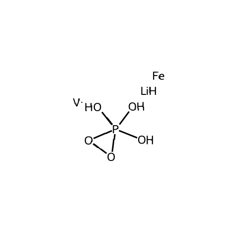 OP1(O)(O)OO1.[Fe].[LiH].[V]